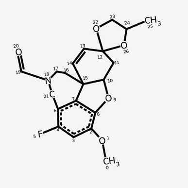 COc1cc(F)c2c3c1OC1CC4(C=CC31CCN(C=O)C2)OCC(C)O4